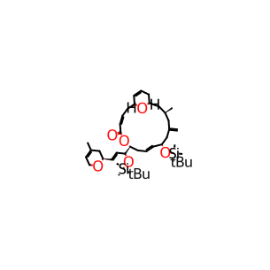 C=C1C[C@H](C)C[C@@H]2CC=C[C@@H](C/C=C\C(=O)O[C@H](C(/C=C/[C@@H]3CC(C)=CCO3)O[Si](C)(C)C(C)(C)C)C/C=C/[C@@H](O[Si](C)(C)C(C)(C)C)C1)O2